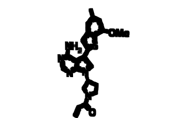 C=CC(=O)N1CC[C@H](n2cc(-c3cc4cc(C)cc(OC)c4s3)c3c(N)ncnc32)C1